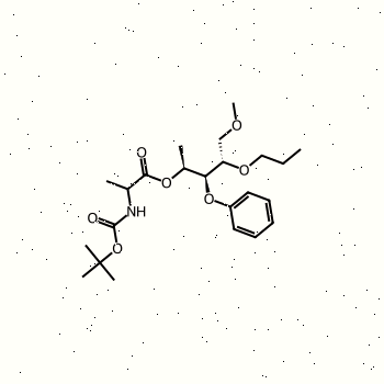 CCCO[C@@H](COC)[C@@H](Oc1ccccc1)[C@H](C)OC(=O)C(C)NC(=O)OC(C)(C)C